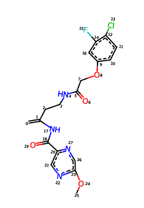 C=C(CCNC(=O)COc1ccc(Cl)c(F)c1)NC(=O)c1cnc(OC)cn1